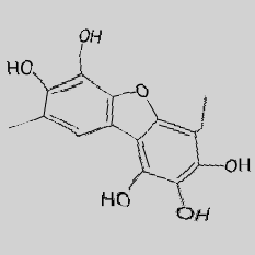 Cc1cc2c(oc3c(C)c(O)c(O)c(O)c32)c(O)c1O